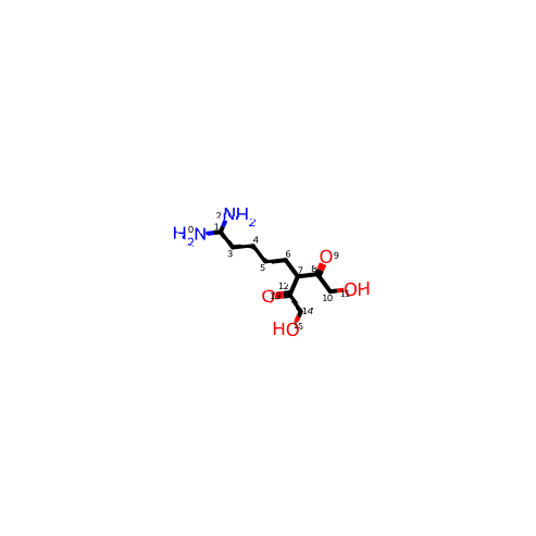 NC(N)CCCCC(C(=O)CO)C(=O)CO